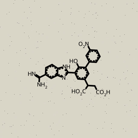 N=C(N)c1ccc2[nH]c(-c3cc(C(CC(=O)O)C(=O)O)cc(-c4cccc([N+](=O)[O-])c4)c3O)nc2c1